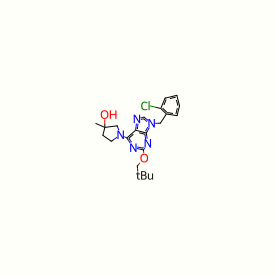 CC(C)(C)COc1nc(N2CCC(C)(O)C2)c2ncn(Cc3ccccc3Cl)c2n1